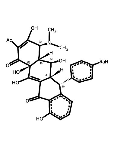 CC(=O)C1=C(O)[C@@H](N(C)C)[C@@H]2[C@@H](O)[C@H]3C(=C(O)[C@]2(O)C1=O)C(=O)c1c(O)cccc1[C@H]3c1cc[c]([RaH])cc1